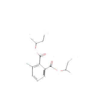 CCC(C)OC(=O)c1cccc(Br)c1C(=O)OC(C)CC